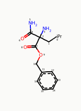 CC(C)CC(N)(C(N)=O)C(=O)OCc1ccccc1